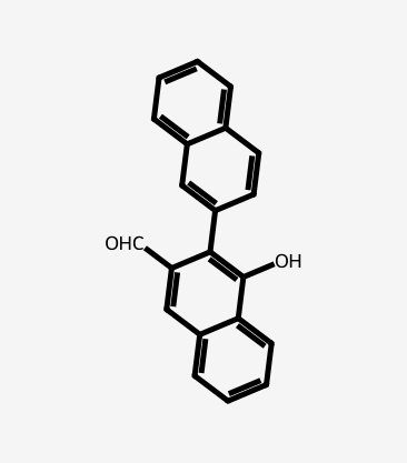 O=Cc1cc2ccccc2c(O)c1-c1ccc2ccccc2c1